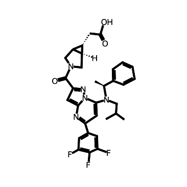 CC(C)CN(c1cc(-c2cc(F)c(F)c(F)c2)nc2cc(C(=O)N3CC4[C@H](CC(=O)O)[C@H]4C3)nn12)[C@@H](C)c1ccccc1